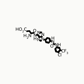 NC(CCC(=O)O)C(=O)Nc1ncnc2c1ncn2-c1ccc(NC(=O)Nc2ccc(Cl)c(C(F)(F)F)c2)cc1